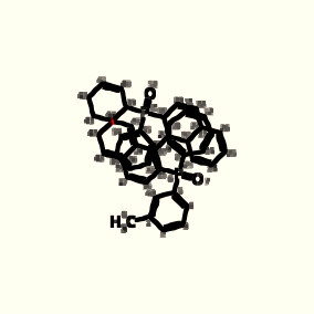 Cc1cccc(P(=O)(C2=CCC=CC=C2)c2ccc3c(c2C2C4C=CC=CC4C=CC2P(=O)(c2ccccc2)C2C=CCCC2)=CCCC=3)c1